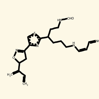 C=CC(=C)C1CC(c2csc(C(CCCN/C=C\C=N)CCNC=O)n2)=NO1